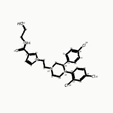 O=C(NCCO)c1ccn(CCN2CCN(c3ccc(Cl)cc3Cl)[C@H](c3ccc(Cl)cc3)C2)c1